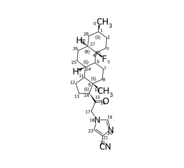 C[C@H]1CC[C@]2(F)C3CC[C@@]4(C)C(CC[C@@H]4C(=O)Cn4cnc(C#N)c4)[C@@H]3CC[C@@H]2C1